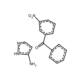 Nc1ccn[nH]1.O=C(c1ccccc1)c1cccc([N+](=O)[O-])c1